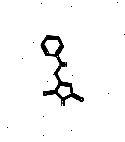 O=C1C=C(CNc2ccccc2)C(=O)N1